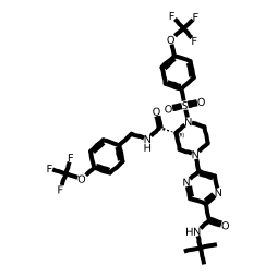 CC(C)(C)NC(=O)c1cnc(N2CCN(S(=O)(=O)c3ccc(OC(F)(F)F)cc3)[C@@H](C(=O)NCc3ccc(OC(F)(F)F)cc3)C2)cn1